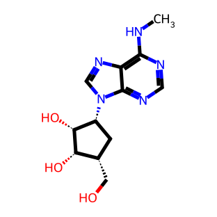 CNc1ncnc2c1ncn2[C@@H]1C[C@H](CO)[C@H](O)[C@@H]1O